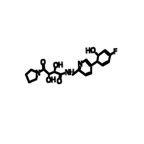 O=C(NCc1ccc(C2C=CC(F)=CC2O)cn1)[C@H](O)[C@@H](O)C(=O)N1CCCC1